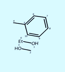 CCO.CO.Cc1ccccc1